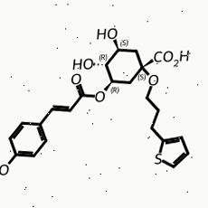 O=C(C=Cc1ccc(O)cc1)O[C@@H]1C[C@](OCCCc2cccs2)(C(=O)O)C[C@H](O)[C@H]1O